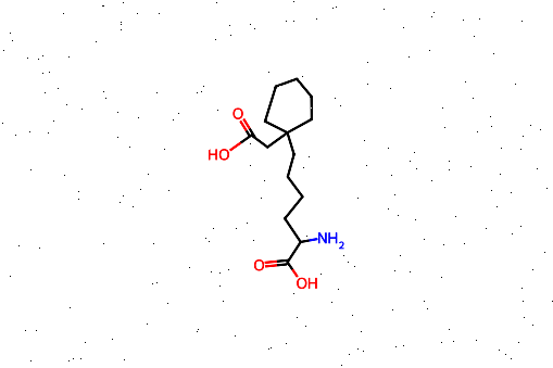 NC(CCCCC1(CC(=O)O)CCCCC1)C(=O)O